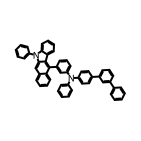 c1ccc(-c2cccc(-c3ccc(N(c4ccccc4)c4cccc(-c5c6ccccc6cc6c5c5ccccc5n6-c5ccccc5)c4)cc3)c2)cc1